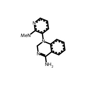 CNc1ncccc1N1CN=C(N)c2ccccc21